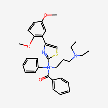 CCN(CC)CCC[N+](C(=O)c1ccccc1)(c1ccccc1)c1nc(-c2cc(OC)ccc2OC)cs1